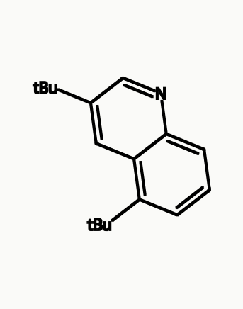 CC(C)(C)c1cnc2cccc(C(C)(C)C)c2c1